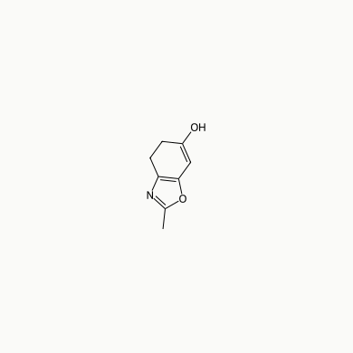 Cc1nc2c(o1)C=C(O)CC2